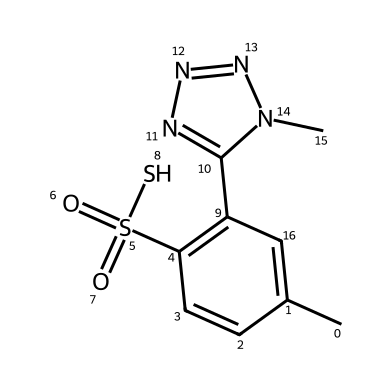 Cc1ccc(S(=O)(=O)S)c(-c2nnnn2C)c1